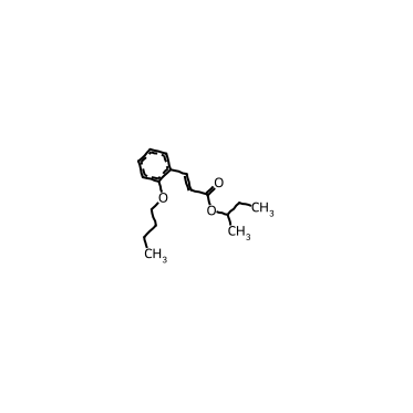 CCCCOc1ccccc1C=CC(=O)OC(C)CC